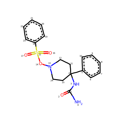 NC(=O)NC1(c2ccccc2)CCN(OS(=O)(=O)c2ccccc2)CC1